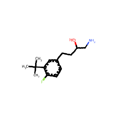 CC(C)(C)c1cc(CCC(O)CN)ccc1F